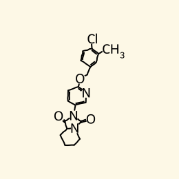 Cc1cc(COc2ccc(N3C(=O)C4CCCCN4C3=O)cn2)ccc1Cl